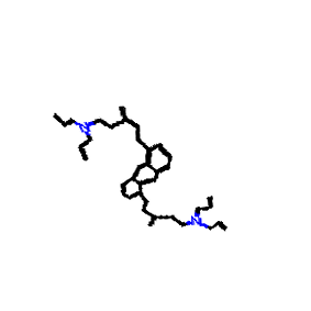 C=CCN(CC=C)CCC(C)CCc1cccc2cc3c(CCC(C)CCN(CC=C)CC=C)cccc3cc12